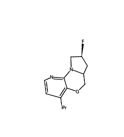 CC(C)c1ccnc2c1OCC1C[C@H](F)CN21